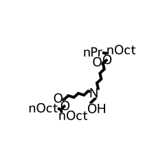 CCCCCCCCC(CCC)OC(=O)CCCCCN(CCO)CCCCCC(=O)OC(CCCCCCCC)CCCCCCCC